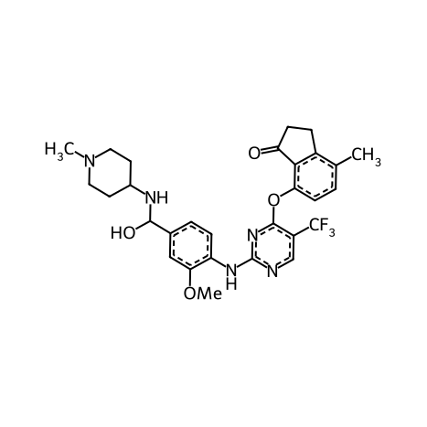 COc1cc(C(O)NC2CCN(C)CC2)ccc1Nc1ncc(C(F)(F)F)c(Oc2ccc(C)c3c2C(=O)CC3)n1